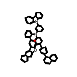 c1cc(N(c2ccc(-c3ccc(-c4cccc5ccccc45)cc3)cc2)c2ccccc2-c2ccc3oc4cc5ccccc5cc4c3c2)cc(-n2c3ccccc3c3ccccc32)c1